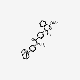 COC(=O)c1ccccc1N(C)c1ccc(C(=O)N(C)c2ccc(C34CC5CC(CC(C5)C3)C4)cc2)cc1